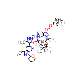 C=Cc1nn(C2CCCCO2)c2cnc(-c3c(C)nn(C)c3O[C@@H](C)CN(C)Cc3c(I)c(OCOCC[Si](C)(C)C)nn3[C@@H](C)CO[Si](C)(C)C(C)(C)C)cc12